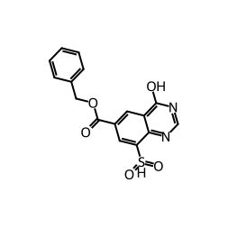 O=C(OCc1ccccc1)c1cc([SH](=O)=O)c2ncnc(O)c2c1